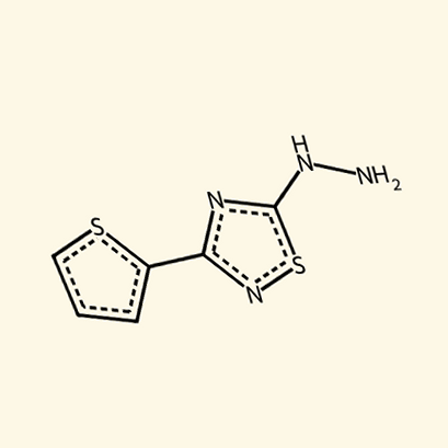 NNc1nc(-c2cccs2)ns1